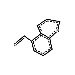 O=Cc1cccc2n[c]ccc12